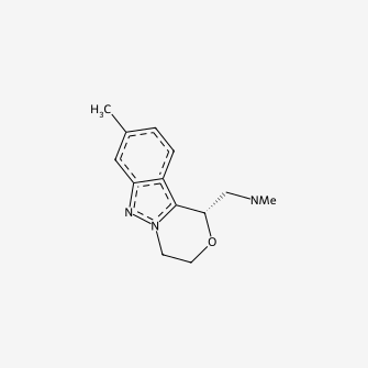 CNC[C@@H]1OCCn2nc3cc(C)ccc3c21